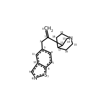 C=C(Cc1ccc2sncc2c1)C1CN2CCC1CC2